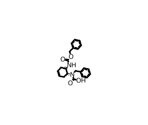 O=C(N[C@@H]1CC=CC[C@H]1N(Cc1ccccc1)C(=O)O)OCc1ccccc1